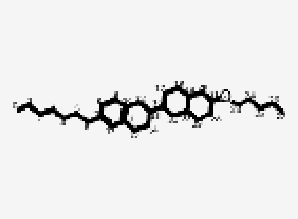 CCCCCCCc1ccc2c(c1)CCC(C1CCC3CC(OCCCCC)CCC3C1)C2